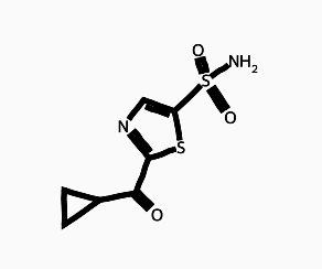 NS(=O)(=O)c1cnc(C(=O)C2CC2)s1